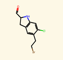 O=CC1Cc2cc(CCBr)c(Cl)cc2N1